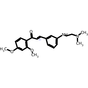 COc1ccc(C(=O)/C=C/c2cccc(NCCN(C)C)c2)c(OC)c1